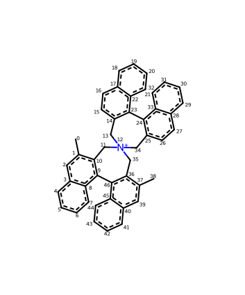 Cc1cc2ccccc2c2c1C[N+]1(Cc3ccc4ccccc4c3-c3c(ccc4ccccc34)C1)Cc1c(C)cc3ccccc3c1-2